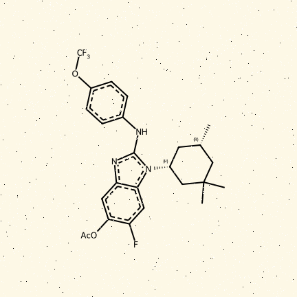 CC(=O)Oc1cc2nc(Nc3ccc(OC(F)(F)F)cc3)n([C@@H]3C[C@H](C)CC(C)(C)C3)c2cc1F